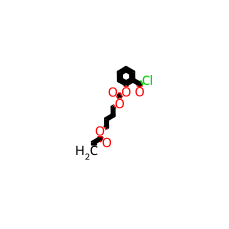 C=CC(=O)OCCCCOC(=O)Oc1ccccc1C(=O)Cl